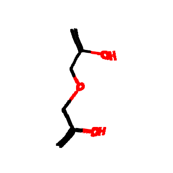 C=C(O)COCC(=C)O